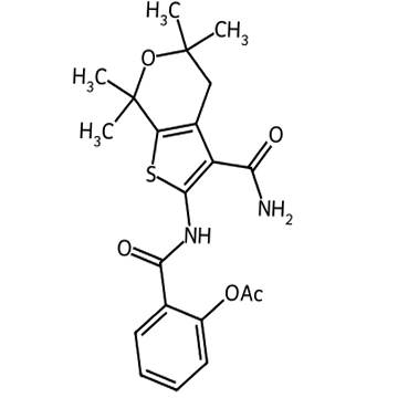 CC(=O)Oc1ccccc1C(=O)Nc1sc2c(c1C(N)=O)CC(C)(C)OC2(C)C